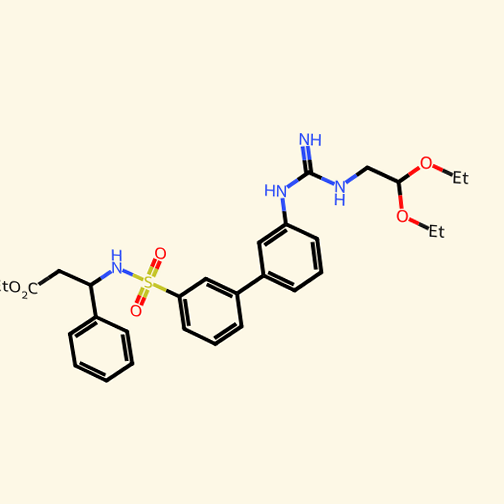 CCOC(=O)CC(NS(=O)(=O)c1cccc(-c2cccc(NC(=N)NCC(OCC)OCC)c2)c1)c1ccccc1